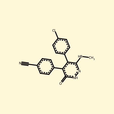 CBc1n[nH]c(=O)c(-c2ccc(C#N)cc2)c1-c1ccc(Cl)cc1